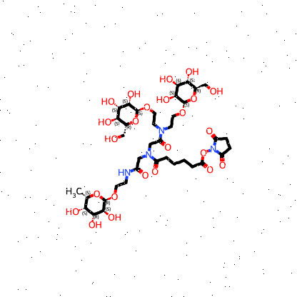 C[C@@H]1O[C@@H](OCCNC(=O)CN(CC(=O)N(CCO[C@H]2O[C@H](CO)[C@@H](O)[C@H](O)[C@@H]2O)CCO[C@H]2O[C@H](CO)[C@@H](O)[C@H](O)[C@@H]2O)C(=O)CCCCC(=O)ON2C(=O)CCC2=O)[C@@H](O)[C@H](O)[C@@H]1O